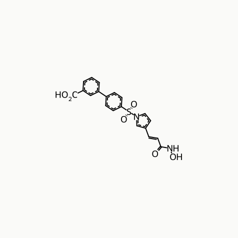 O=C(/C=C/c1ccn(S(=O)(=O)c2ccc(-c3cccc(C(=O)O)c3)cc2)c1)NO